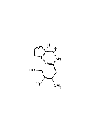 CCC[C@H](CO)C(C)CC1=CN2CC=C[C@H]2C(=O)N1